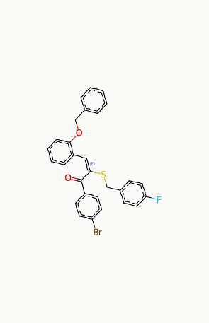 O=C(/C(=C\c1ccccc1OCc1ccccc1)SCc1ccc(F)cc1)c1ccc(Br)cc1